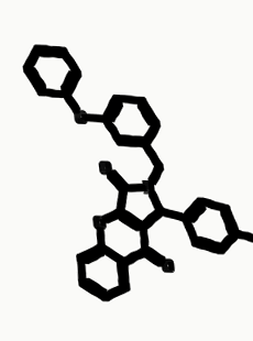 O=C1c2oc3ccccc3c(=O)c2C(c2ccc(F)cc2)N1Cc1cccc(Oc2ccccc2)c1